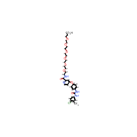 O=C(O)CCOCCOCCOCCOCCOCCOCCNC(=O)c1cc(Oc2ccc(NC(=O)Nc3ccc(Cl)c(C(F)(F)F)c3)cc2)ccn1